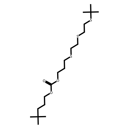 CC(C)(C)CCCOC(=O)OCCCSCCSCCSC(C)(C)C